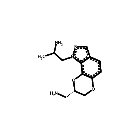 CC(N)Cn1ncc2ccc3c(c21)O[C@@H](CN)CO3